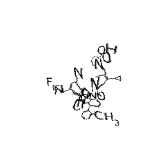 Cc1ccccc1C1=CC=CC(NC(=O)c2cc(C3CC3)c(CN3CCC[C@H]3C(=O)O)cn2)(c2nc3cc(CN4CC(F)C4)cc(C#N)c3o2)C1Cl